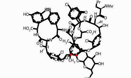 CN[C@H](CC(C)C)C(=O)N[C@@H]1C(=O)NC(CC(N)=O)C(=O)NC2C(=O)NC3C(=O)N[C@H](C(=O)NC(C(=O)O)c4cc(O)cc(O)c4-c4cc3ccc4O)[C@H](O)c3ccc(c(Cl)c3)Oc3cc2cc(c3OC2OC(CO)C(O)C(O)C2OC2CC(C)(NCC(OCc3ccc(Cl)cc3)C(=O)O)CC(C)(CO)O2)Oc2ccc(cc2Cl)C1O